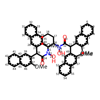 COc1cc2ccccc2cc1C(C(=O)N(O)C1CCCCC1N(O)C(=O)C(c1cc2ccccc2cc1OC)c1cc2ccccc2cc1OC)c1cc2ccccc2cc1OC